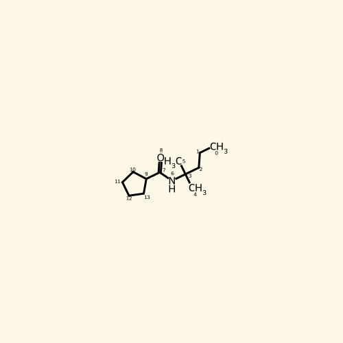 CCCC(C)(C)NC(=O)C1CCCC1